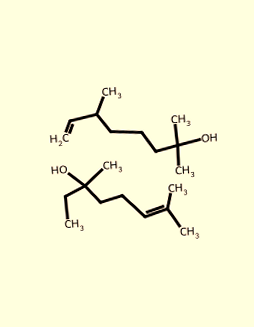 C=CC(C)CCCC(C)(C)O.CCC(C)(O)CCC=C(C)C